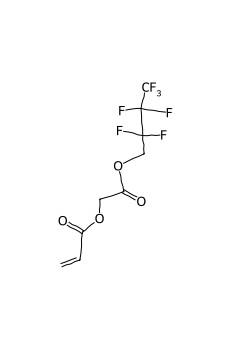 C=CC(=O)OCC(=O)OCC(F)(F)C(F)(F)C(F)(F)F